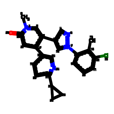 Cn1cc(-c2cnn(-c3cccc(Cl)c3C#N)c2)c(-c2ccc(C3CC3)nc2)cc1=O